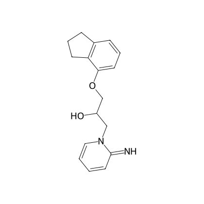 N=c1ccccn1CC(O)COc1cccc2c1CCC2